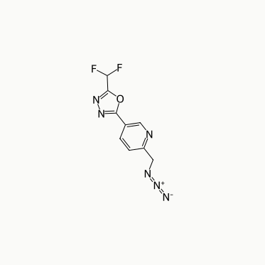 [N-]=[N+]=NCc1ccc(-c2nnc(C(F)F)o2)cn1